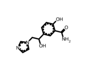 NC(=O)c1cc(C(O)Cn2ccnc2)ccc1O